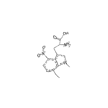 Cc1ccc([N+](=O)[O-])c2c(CC(N)C(=O)O)cn(C)c12